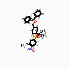 Cc1cc(S(=O)(=O)C2(C(C)(C)C)CCC(CO[SiH](c3ccccc3)c3ccccc3)CC2)ccc1[N+](=O)[O-]